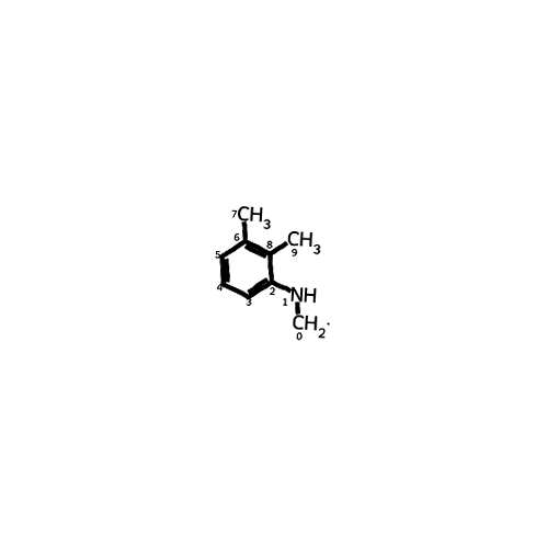 [CH2]Nc1cccc(C)c1C